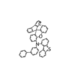 c1ccc(-c2cccc(N(c3cccc4c3Oc3ccccc3C43c4ccccc4-c4ccccc43)c3cccc4sc5ccccc5c34)c2)cc1